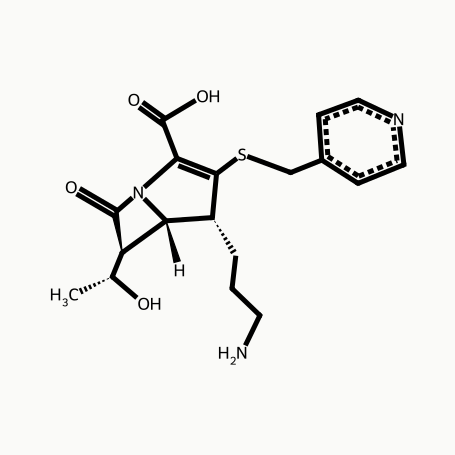 C[C@@H](O)[C@H]1C(=O)N2C(C(=O)O)=C(SCc3ccncc3)[C@H](CCCN)[C@H]12